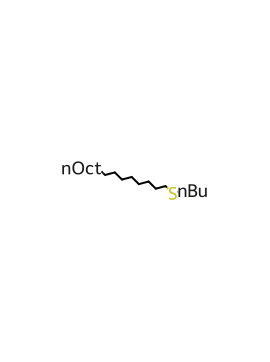 [CH2]CCCSCCCCCCCCCCCCCCCC